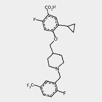 O=C(O)c1cc(C2CC2)c(OCC2CCN(Cc3cc(C(F)(F)F)ccc3F)CC2)cc1F